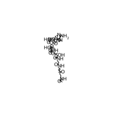 CC(=O)NCCCC(=O)SCCNC(=O)CCNC(=O)[C@H](O)C(C)(C)COP(=O)(O)OP(=O)(O)OC[C@H]1O[C@@H](n2cnc3c(N)ncnc32)[C@H](O)[C@@H]1OP(=O)(O)O